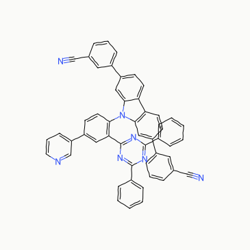 N#Cc1cccc(-c2ccc3c4ccc(-c5cccc(C#N)c5)cc4n(-c4ccc(-c5cccnc5)cc4-c4nc(-c5ccccc5)nc(-c5ccccc5)n4)c3c2)c1